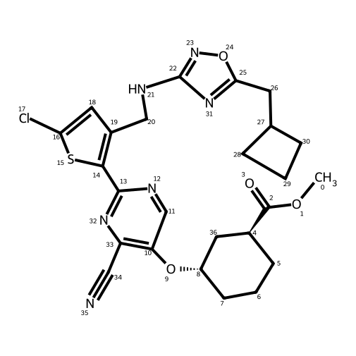 COC(=O)[C@H]1CCC[C@H](Oc2cnc(-c3sc(Cl)cc3CNc3noc(CC4CCC4)n3)nc2C#N)C1